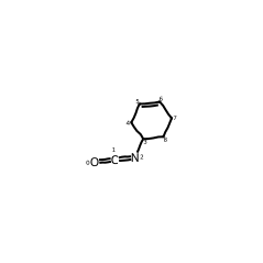 O=C=NC1CC=CCC1